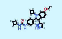 CCOc1ccc2c(c1)N(C1CCC1)C(c1ccc(NC(=O)NC3CCC3)cc1)C2c1cc[nH]n1